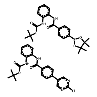 CC(C)(C)OC(=O)Nc1ccccc1NC(=O)c1ccc(-c2cnc(Cl)nc2)cc1.CC(C)(C)OC(=O)Nc1ccccc1NC(=O)c1ccc(B2OC(C)(C)C(C)(C)O2)cc1